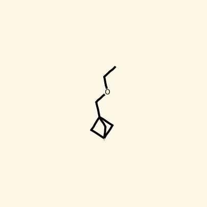 CCOCC12C[C](C1)C2